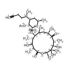 C#CCCN(C)[C@H]1C[C@@H](C)O[C@@H](O[C@@H]2[C@@H](C)C(O)[C@@H](C)C(=O)O[C@H](CC)[C@@](C)(O)[C@H](O)[C@@H](C)C(=O)[C@H](C)C[C@@]2(C)OC)[C@@H]1OC(C)=O